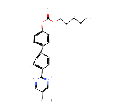 CCCCCCCc1cnc(-c2ccc(-c3ccc(OC(=O)OCCCCC(C)CC)cc3)cc2)nc1